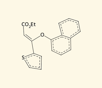 CCOC(=O)/C=C(\Oc1cccc2ccccc12)c1cccs1